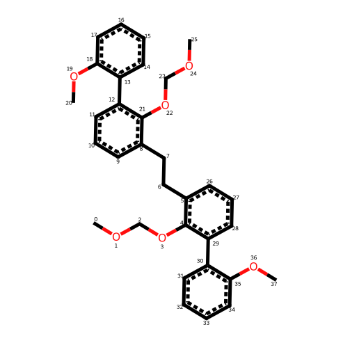 COCOc1c(CCc2cccc(-c3ccccc3OC)c2OCOC)cccc1-c1ccccc1OC